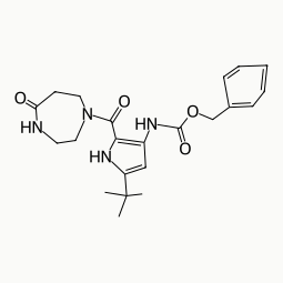 CC(C)(C)c1cc(NC(=O)OCc2ccccc2)c(C(=O)N2CCNC(=O)CC2)[nH]1